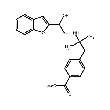 COC(=O)c1ccc(CC(C)(C)NCC(O)c2cc3ccccc3o2)cc1